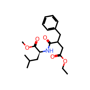 CCOC(=O)CC(Cc1ccccc1)C(=O)N[C@@H](CC(C)C)C(=O)OC